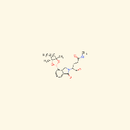 CCC1(C)OB(c2cccc3c2CN(C(C=O)CCC(=O)NC)C3=O)OC1(C)C